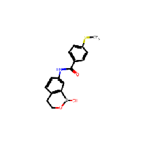 O=C(Nc1ccc2c(c1)B(O)OCC2)c1ccc(SC(F)(F)F)cc1